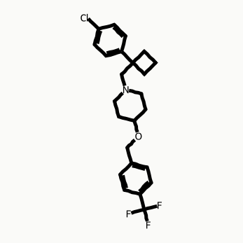 FC(F)(F)c1ccc(COC2CCN(CC3(c4ccc(Cl)cc4)CCC3)CC2)cc1